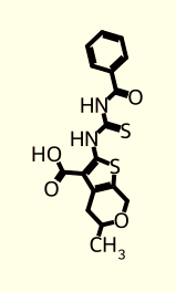 CC1Cc2c(sc(NC(=S)NC(=O)c3ccccc3)c2C(=O)O)CO1